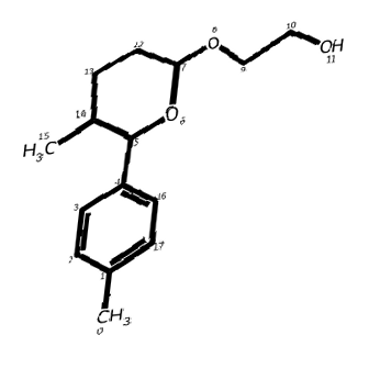 Cc1ccc(C2OC(OCCO)CCC2C)cc1